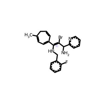 CC1=CC=C(/C(NCc2ccccc2F)=C(\Br)C(N)c2ccccn2)C=CC1